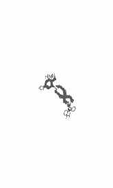 O=[SH](=O)N1CCC2(CCN(c3cc(Cl)cc4[nH]ncc34)CC2)C1